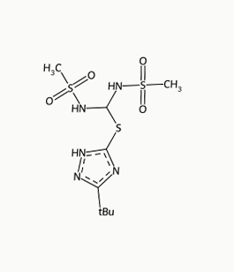 CC(C)(C)c1n[nH]c(SC(NS(C)(=O)=O)NS(C)(=O)=O)n1